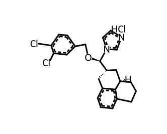 Cl.Clc1ccc(CO[C@H]([C@H]2Cc3cccc4c3[C@H](CCC4)C2)n2ccnc2)cc1Cl